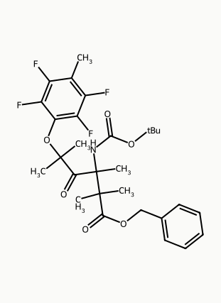 Cc1c(F)c(F)c(OC(C)(C)C(=O)C(C)(NC(=O)OC(C)(C)C)C(C)(C)C(=O)OCc2ccccc2)c(F)c1F